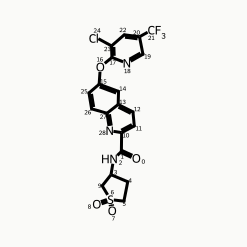 O=C(NC1CCS(=O)(=O)C1)c1ccc2cc(Oc3ncc(C(F)(F)F)cc3Cl)ccc2n1